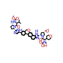 COC[C@H]1C[C@@H](c2nc3ccc4cc5c(cc4c3[nH]2)OCc2cc(-c3cnc([C@@H]4CC[C@H](C)N4C(=O)[C@@H](NC(=O)OC)C(C)C)[nH]3)ccc2-5)N(C(=O)[C@H](C2CCOCC2)N(C)C(=O)O)C1